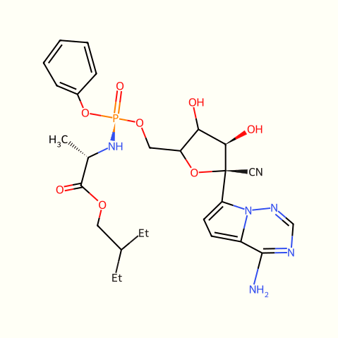 CCC(CC)COC(=O)[C@H](C)N[P@@](=O)(OCC1O[C@@](C#N)(c2ccc3c(N)ncnn23)[C@H](O)C1O)Oc1ccccc1